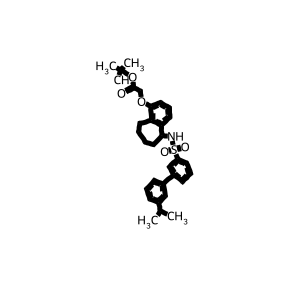 CC(C)c1cccc(-c2cccc(S(=O)(=O)NC3CCCCc4c(OCC(=O)OC(C)(C)C)cccc43)c2)c1